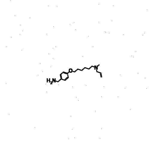 C=CCN(C)CCCCCCOc1ccc(CN)cc1